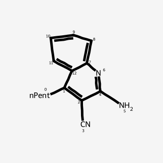 CCCCCc1c(C#N)c(N)nc2ccccc12